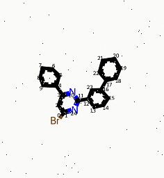 Brc1cc(-c2ccccc2)nc(-c2cccc(-c3ccccc3)c2)n1